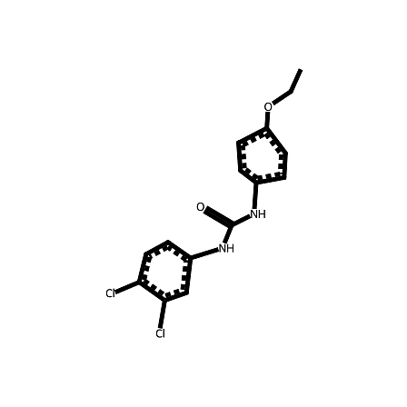 CCOc1ccc(NC(=O)Nc2ccc(Cl)c(Cl)c2)cc1